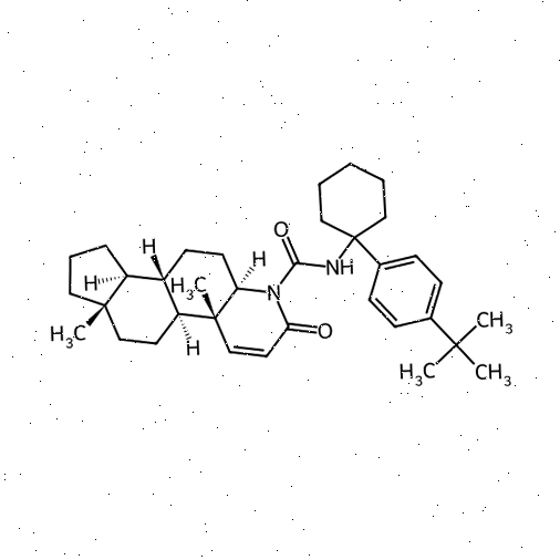 CC(C)(C)c1ccc(C2(NC(=O)N3C(=O)C=C[C@]4(C)[C@H]5CC[C@]6(C)CCC[C@H]6[C@@H]5CC[C@@H]34)CCCCC2)cc1